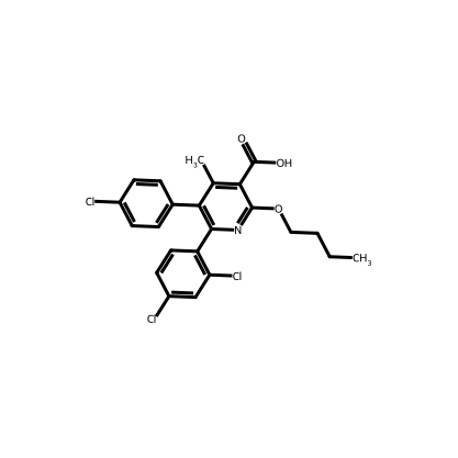 CCCCOc1nc(-c2ccc(Cl)cc2Cl)c(-c2ccc(Cl)cc2)c(C)c1C(=O)O